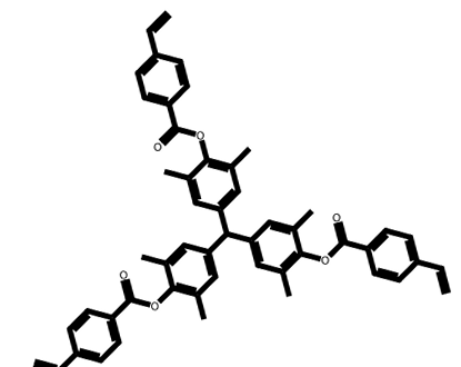 C=Cc1ccc(C(=O)Oc2c(C)cc(C(c3cc(C)c(OC(=O)c4ccc(C=C)cc4)c(C)c3)c3cc(C)c(OC(=O)c4ccc(C=C)cc4)c(C)c3)cc2C)cc1